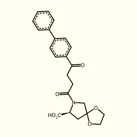 O=C(CCC(=O)N1CC2(C[C@H]1C(=O)O)OCCO2)c1ccc(-c2ccccc2)cc1